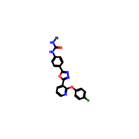 CCNC(=O)Nc1ccc(-c2nnc(-c3cccnc3Oc3ccc(F)cc3)o2)cc1